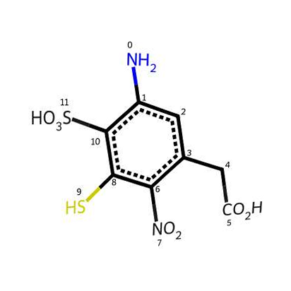 Nc1cc(CC(=O)O)c([N+](=O)[O-])c(S)c1S(=O)(=O)O